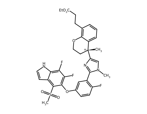 CCOC(=O)CCc1cccc2c1OCC[C@@]2(C)c1cn(C)c(-c2cc(Oc3c(F)c(F)c4[nH]ccc4c3S(C)(=O)=O)ccc2F)n1